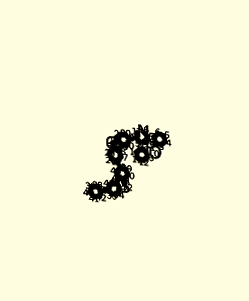 O=P(c1ccccc1)(c1ccccc1)c1cncc(-c2ccc3oc4ccc(-c5ccc6sc7ccc(-c8ccccc8)cc7c6c5)cc4c3c2)c1